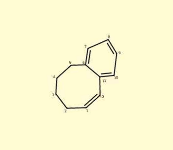 [C]1=C\CCCCc2ccccc2/1